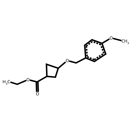 CCOC(=O)C1CC(OCc2ccc(OC)cc2)C1